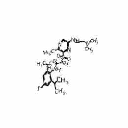 Cc1ncc(NCCN(C)C)nc1S(=O)(=O)NC(=O)Nc1c(C(C)C)cc(F)cc1C(C)C